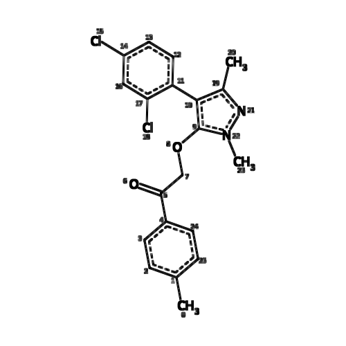 Cc1ccc(C(=O)COc2c(-c3ccc(Cl)cc3Cl)c(C)nn2C)cc1